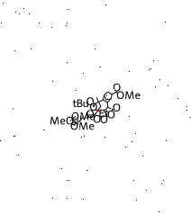 CCC(C)(CC(C)(C(=O)OC(C)(C)C)C1C2CC(C(=O)OC)C(C2)C1C1C(=O)OC(=O)C1C)C(=O)OCCC[Si](OC)(OC)OC